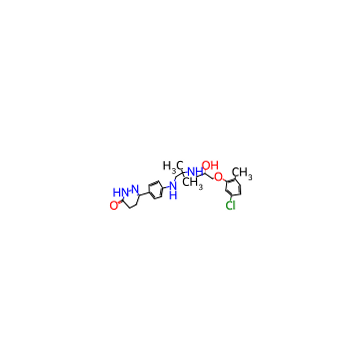 Cc1ccc(Cl)cc1OC[C@@H](O)CNC(C)(C)CNc1ccc(C2=NNC(=O)CC2)cc1